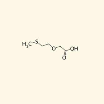 CSCCOCC(=O)O